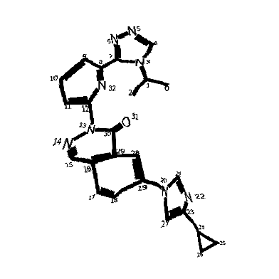 CC(C)n1cnnc1-c1cccc(-n2ncc3ccc(-n4cnc(C5CC5)c4)cc3c2=O)n1